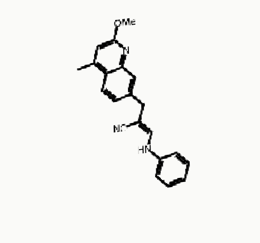 COc1cc(C)c2ccc(C/C(C#N)=C/Nc3ccccc3)cc2n1